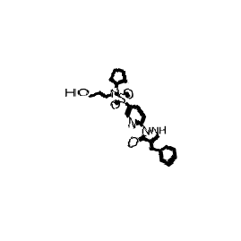 O=c1c(Cc2ccccc2)c[nH]n1-c1ccc(S(=O)(=O)N(CCCO)C2CCCC2)cn1